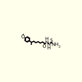 COc1ccc(C(C)CCCCCC(=O)NNC(N)=S)cc1